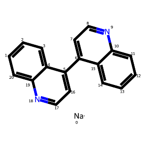 [Na].c1ccc2c(-c3ccnc4ccccc34)ccnc2c1